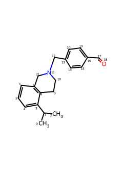 CC(C)c1cccc2c1CCN(Cc1ccc(C=O)cc1)C2